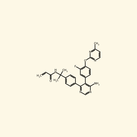 C=CC(=O)NC(C)(C)c1ccc(-c2ncnc(N)c2-c2ccc(Oc3nccc(C)n3)c(F)c2)cc1